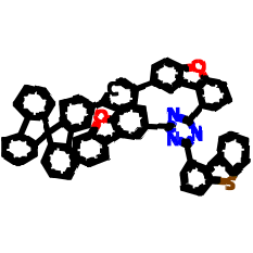 c1ccc2c(c1)-c1ccccc1C21c2ccccc2-c2cc(-c3ccc(-c4ccc5oc6cccc(-c7nc(-c8ccc9oc%10ccccc%10c9c8)nc(-c8cccc9sc%10ccccc%10c89)n7)c6c5c4)cc3)ccc21